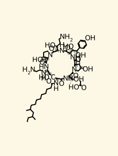 CC(=O)O.CCC(C)CC(C)CCCCCCCCC(=O)N[C@H]1C[C@@H](O)[C@H](NCCN)NC(=O)[C@@H]2[C@@H](O)CCN2C(=O)[C@H]([C@@H](O)CCN)NC(=O)[C@H]([C@H](O)[C@@H](O)c2ccc(O)cc2)NC(=O)[C@@H]2C[C@@H](O)CN2C(=O)[C@H]([C@@H](C)O)NC1=O